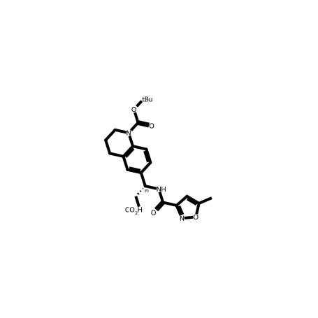 Cc1cc(C(=O)N[C@H](CC(=O)O)c2ccc3c(c2)CCCN3C(=O)OC(C)(C)C)no1